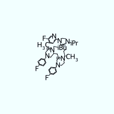 CCC(C)CN1C(C[C@@H]2CN(c3ccc(F)cc3)CCN2C(C)CC[C@@H]2CN(c3ccc(F)cn3)CCN2C(C)C)CN(c2ccc(F)cc2)C[C@H]1C